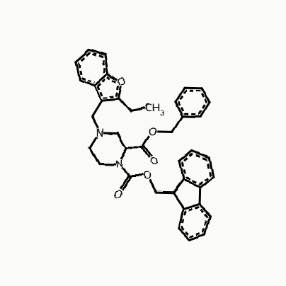 CCc1oc2ccccc2c1CN1CCN(C(=O)OCC2c3ccccc3-c3ccccc32)C(C(=O)OCc2ccccc2)C1